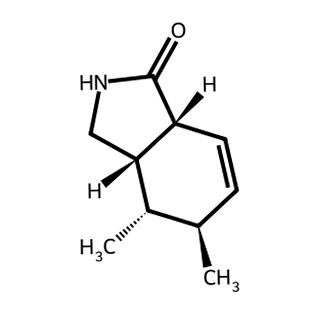 C[C@@H]1[C@@H]2CNC(=O)[C@@H]2C=C[C@H]1C